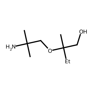 CCC(C)(CO)OCC(C)(C)N